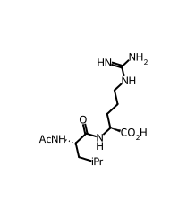 CC(=O)N[C@@H](CC(C)C)C(=O)N[C@@H](CCCNC(=N)N)C(=O)O